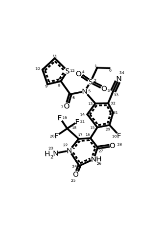 CCS(=O)(=O)N(C(=O)c1cccs1)c1cc(-c2c(C(F)(F)F)n(N)c(=O)[nH]c2=O)c(F)cc1C#N